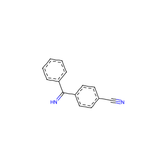 N#Cc1ccc(C(=N)c2ccccc2)cc1